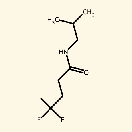 CC(C)CNC(=O)CCC(F)(F)F